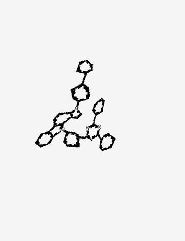 c1ccc(-c2ccc(-n3ccc4c3ccc3c5ccccc5n(-c5cccc(-c6nc(-c7ccccc7)nc(-c7ccccc7)n6)c5)c34)cc2)cc1